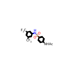 CC(=O)Nc1ccc(S(=O)(=O)Nc2cc(C(F)(F)F)cc(C(F)(F)F)c2)cc1